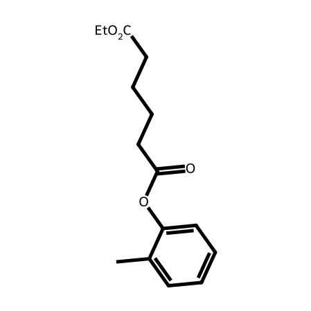 CCOC(=O)CCCCC(=O)Oc1ccccc1C